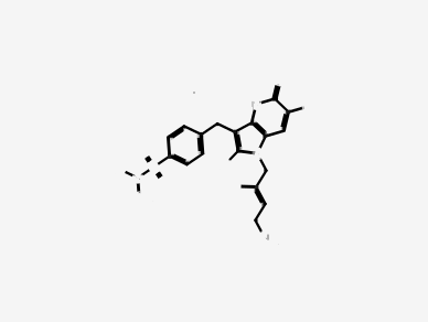 Cc1cc2c([nH]c1=O)c(Cc1ccc(S(=O)(=O)N(C)C)cc1)c(C)n2CC(F)=CCN.Cl